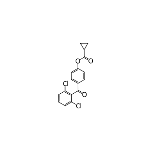 O=C(c1ccc(OC(=O)C2CC2)cc1)c1c(Cl)cccc1Cl